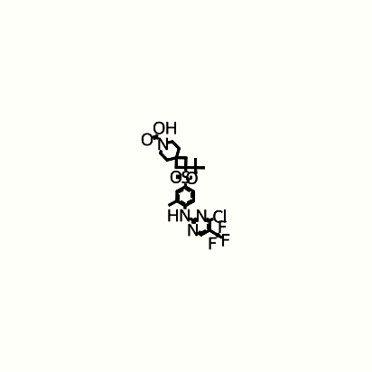 Cc1cc(S(=O)(=O)C2(C(C)(C)C)CC3(CCN(C(=O)O)CC3)C2)ccc1Nc1ncc(C(F)(F)F)c(Cl)n1